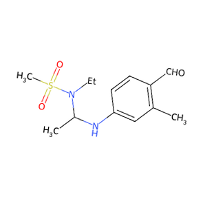 CCN(C(C)Nc1ccc(C=O)c(C)c1)S(C)(=O)=O